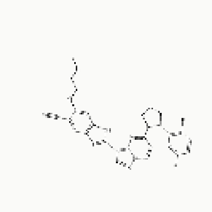 COCCOc1cc2[nH]c(-c3cnn4ccc(N5CCC[C@@H]5c5cc(F)ccc5F)nc34)nc2cc1C#N